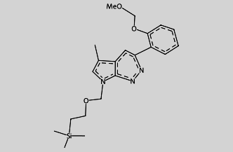 COCOc1ccccc1-c1cc2c(C)cn(COCC[Si](C)(C)C)c2nn1